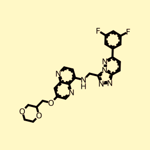 Fc1cc(F)cc(-c2ccc3nnc(CNc4ccnc5cc(OCC6COCCO6)cnc45)n3n2)c1